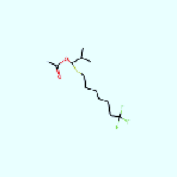 CC(=O)OC(SCCCCCCC(F)(F)F)C(C)C